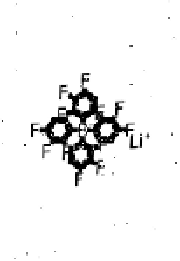 Fc1ccc([B-](c2ccc(F)c(F)c2F)(c2ccc(F)c(F)c2F)c2ccc(F)c(F)c2F)c(F)c1F.[Li+]